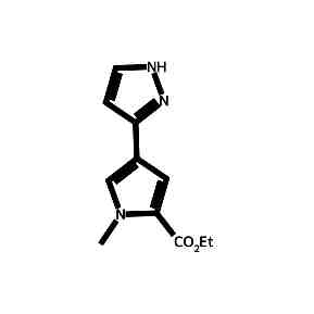 CCOC(=O)c1cc(-c2cc[nH]n2)cn1C